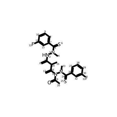 C=C(NN(C)C(=S)c1cccc(F)c1)C(C)C(=C)N(C(C)=O)N(C)C(=S)c1cccc(F)c1